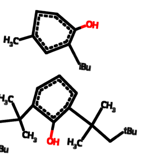 CC(C)(C)CC(C)(C)c1cccc(C(C)(C)CC(C)(C)C)c1O.CCC(C)c1cc(C)ccc1O